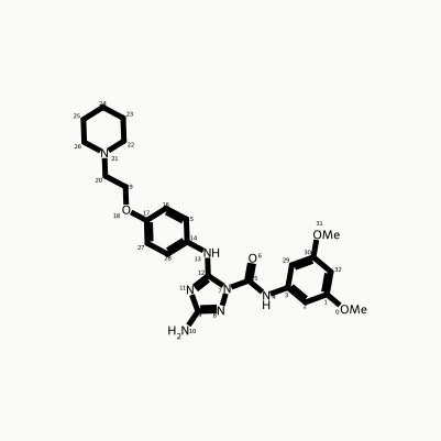 COc1cc(NC(=O)n2nc(N)nc2Nc2ccc(OCCN3CCCCC3)cc2)cc(OC)c1